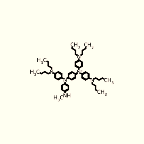 CCCCN(CCCC)c1ccc([N+](=C2C=CC(=[N+](c3ccc(N(CCCC)CCCC)cc3)c3ccc(N(CCCC)CCCC)cc3)C=C2)c2ccc(NC)cc2)cc1